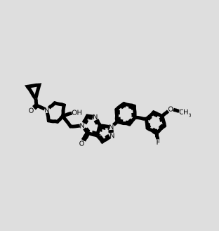 COc1cc(F)cc(-c2cccc(-n3ncc4c(=O)n(CC5(O)CCN(C(=O)C6CC6)CC5)cnc43)c2)c1